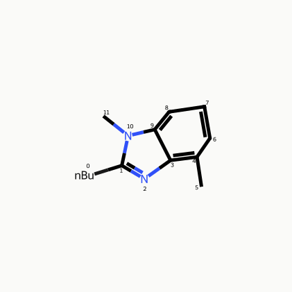 CCCCc1nc2c(C)cccc2n1C